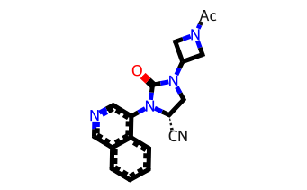 CC(=O)N1CC(N2C[C@H](C#N)N(c3cncc4ccccc34)C2=O)C1